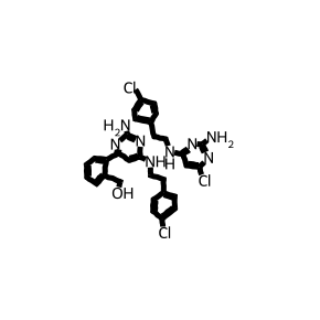 Nc1nc(Cl)cc(NCCc2ccc(Cl)cc2)n1.Nc1nc(NCCc2ccc(Cl)cc2)cc(-c2ccccc2CO)n1